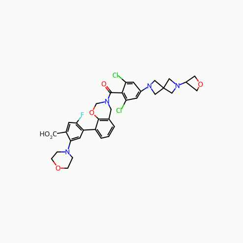 O=C(O)c1cc(F)c(-c2cccc3c2OCN(C(=O)c2c(Cl)cc(N4CC5(C4)CN(C4COC4)C5)cc2Cl)C3)cc1N1CCOCC1